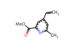 C=Cc1cc(C)nc(C(=O)OC)c1